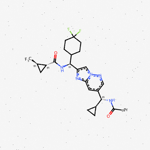 CCCC(=O)N[C@@H](c1cnn2cc([C@@H](NC(=O)[C@@H]3C[C@H]3C(F)(F)F)C3CCC(F)(F)CC3)nc2c1)C1CC1